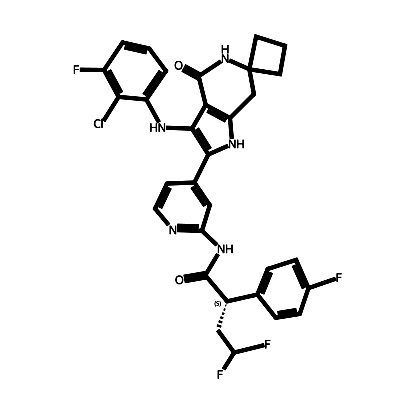 O=C1NC2(CCC2)Cc2[nH]c(-c3ccnc(NC(=O)[C@@H](CC(F)F)c4ccc(F)cc4)c3)c(Nc3cccc(F)c3Cl)c21